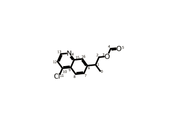 CC(COC=O)c1ccc2c(Cl)ccnc2c1